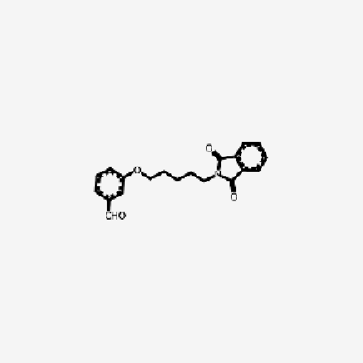 O=Cc1cccc(OCCCCCN2C(=O)c3ccccc3C2=O)c1